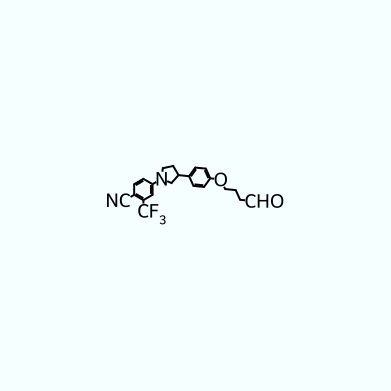 N#Cc1ccc(N2CCC(c3ccc(OCCCC=O)cc3)C2)cc1C(F)(F)F